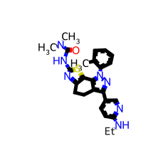 CCNc1ccc(-c2nn(-c3ccccc3C)c3c2CCc2nc(NC(=O)N(C)C)sc2-3)cn1